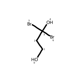 OCCC(O)(Br)Br